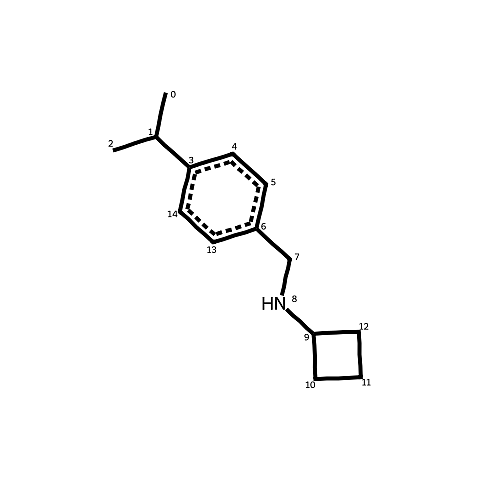 CC(C)c1ccc(CNC2CCC2)cc1